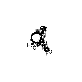 CC[C@@H]1C[C@H](C)CCC=C[C@@H]2C[C@@]2(C(=O)NS(=O)(=O)C2(C)CC2)NC(=O)[C@@H]2C[C@@H](Oc3nc4cc(OC)c(F)cc4nc3C)CN2C(=O)[C@H]1NC(=O)O